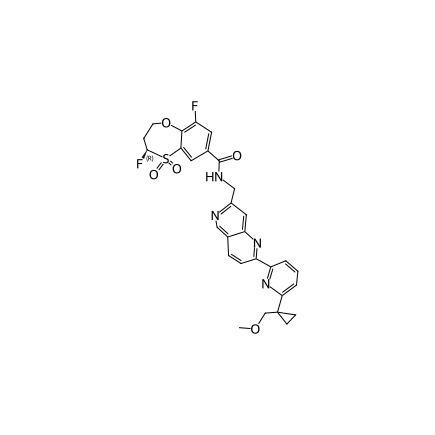 COCC1(c2cccc(-c3ccc4cnc(CNC(=O)c5cc(F)c6c(c5)S(=O)(=O)[C@@H](F)CCO6)cc4n3)n2)CC1